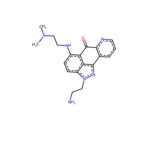 CN(C)CCNc1ccc2c3c(nn2CCN)-c2cccnc2C(=O)c13